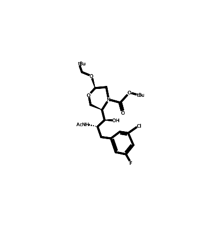 CC(=O)N[C@@H](Cc1cc(F)cc(Cl)c1)[C@H](O)[C@H]1CO[C@@H](OCC(C)(C)C)CN1C(=O)OC(C)(C)C